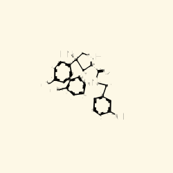 N[C@]1(c2ccc(Cl)cc2)CN[C@@H](C(=O)NCc2cccc(C(F)(F)F)c2)[C@@H]1c1cccc(Cl)c1